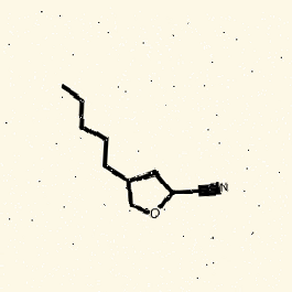 CCCCCC1COC(C#N)C1